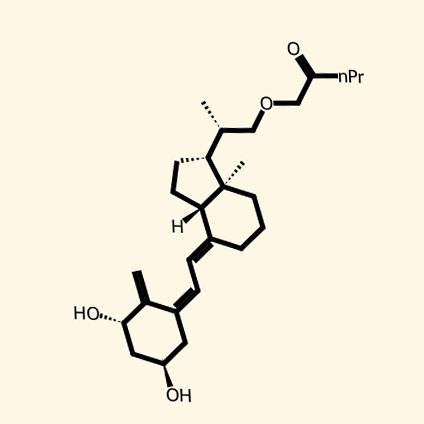 C=C1/C(=C\C=C2/CCC[C@]3(C)[C@@H]([C@H](C)COCC(=O)CCC)CC[C@@H]23)C[C@@H](O)C[C@@H]1O